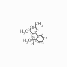 CCC[C@H](C[C@@H](C)O)C1C=CC=C[C@H]1C(C)(F)I